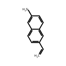 C=Cc1ccc2cc([SiH3])ccc2c1